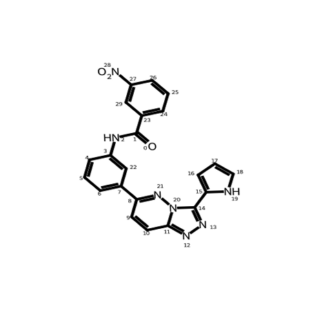 O=C(Nc1cccc(-c2ccc3nnc(-c4ccc[nH]4)n3n2)c1)c1cccc([N+](=O)[O-])c1